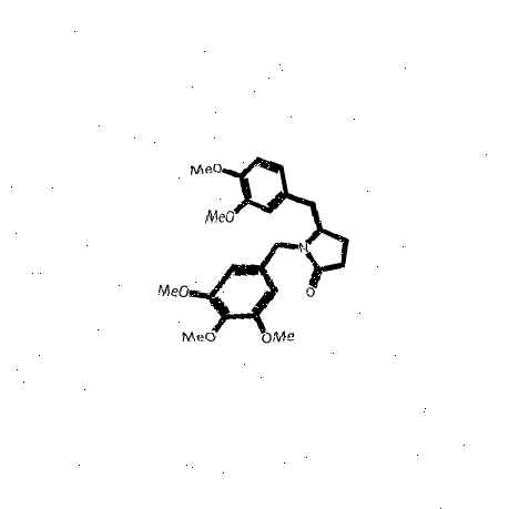 COc1ccc(CC2CCC(=O)N2Cc2cc(OC)c(OC)c(OC)c2)cc1OC